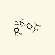 CCC(=O)N(C(=O)CC)c1ccc(SCC(C)(O)C(=O)Nc2ccc(C#N)c(C(F)(F)F)c2)cc1